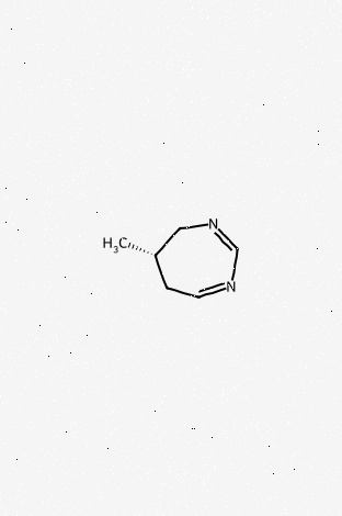 C[C@H]1CC=NC=NC1